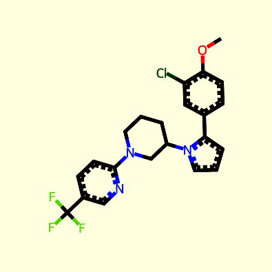 COc1ccc(-c2cccn2C2CCCN(c3ccc(C(F)(F)F)cn3)C2)cc1Cl